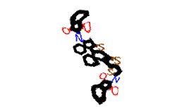 O=c1c(=NC2=Cc3sc4c(c3C23CCCCC3)C2(CCCCC2)c2c-4sc3cc(N=c4c(=O)c5ccccc5c4=O)sc23)c(=O)c2ccccc12